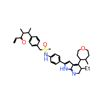 C=CC(=O)C(C)C(C)c1ccc(C[SH](C)(=O)Nc2ccc(-c3cc4c([nH]3)=NCC(CC)C=4C3CCOCCC3C)cc2)cc1